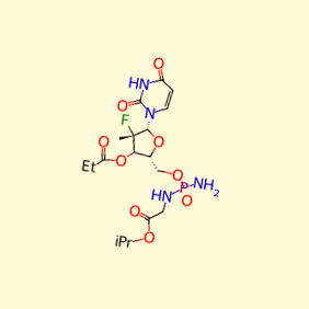 CCC(=O)OC1[C@@H](COP(N)(=O)NCC(=O)OC(C)C)O[C@@H](n2ccc(=O)[nH]c2=O)[C@@]1(C)F